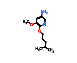 COc1cc(N)cnc1OCCCC(C)C